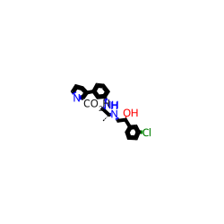 C[C@H](CNc1cccc(-c2cccnc2C(=O)O)c1)NC[C@H](O)c1cccc(Cl)c1